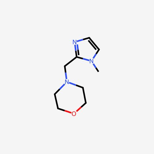 Cn1ccnc1CN1CCOCC1